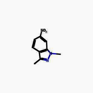 Cc1nn(C)c2cc([N+](=O)[O-])ccc12